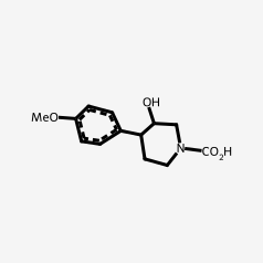 COc1ccc(C2CCN(C(=O)O)CC2O)cc1